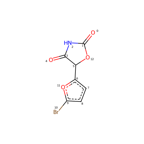 O=C1NC(=O)C(c2ccc(Br)o2)O1